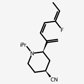 C=C(/C=C\C(F)=C/C)[C@H]1C[C@@H](C#N)CCN1C(C)C